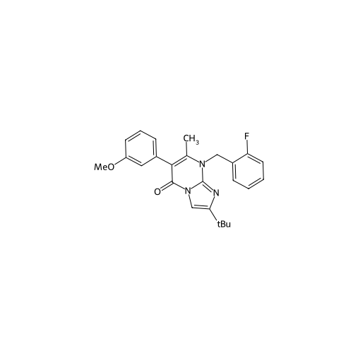 COc1cccc(-c2c(C)n(Cc3ccccc3F)c3nc(C(C)(C)C)cn3c2=O)c1